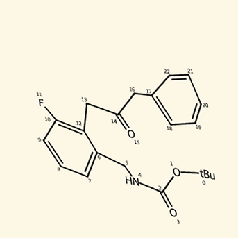 CC(C)(C)OC(=O)NCc1cccc(F)c1CC(=O)Cc1ccccc1